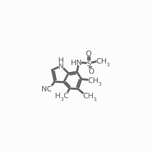 Cc1c(C)c(C)c2c(C#N)c[nH]c2c1NS(C)(=O)=O